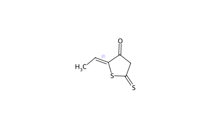 C/C=C1\SC(=S)CC1=O